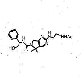 CC(=O)NCCNc1ncc2c(n1)CN(C(=O)N[C@H](CO)c1ccccc1)C2(C)C